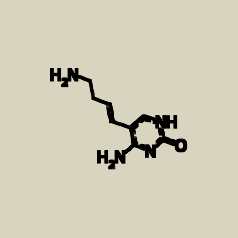 NCC/C=C/c1c[nH]c(=O)nc1N